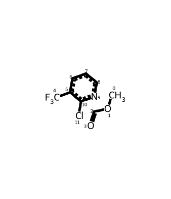 COC=O.FC(F)(F)c1cccnc1Cl